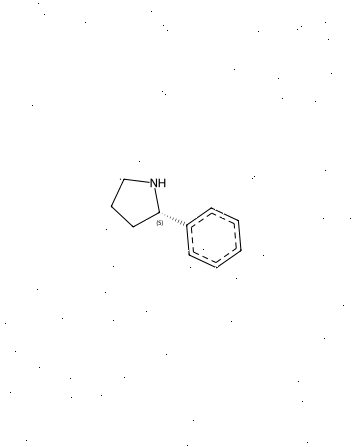 [CH]1CC[C@@H](c2ccccc2)N1